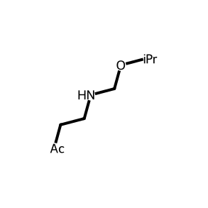 CC(=O)CCNCOC(C)C